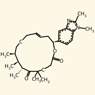 Cc1nc2cc([C@@H]3C/C=C/CCC[C@H](C)[C@H](C)[C@@H](C)C(=O)C(C)(C)CCC(=O)O3)ccc2n1C